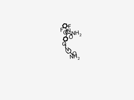 NC(=O)C1CCN(CCOc2ccc(C3OC(c4c(F)cccc4F)=NC3C(N)=O)cc2)CC1